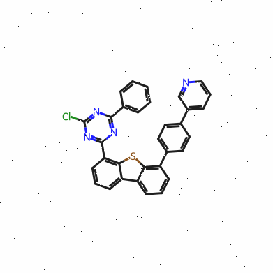 Clc1nc(-c2ccccc2)nc(-c2cccc3c2sc2c(-c4ccc(-c5cccnc5)cc4)cccc23)n1